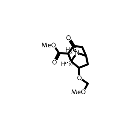 COCOC1CC2CC(=O)C(C(=O)OC)[C@H]1N2C